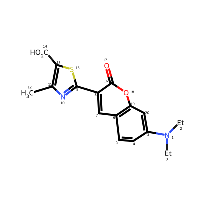 CCN(CC)c1ccc2cc(-c3nc(C)c(C(=O)O)s3)c(=O)oc2c1